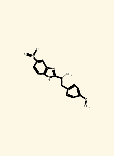 COc1ccc(C[C@@H](N)c2nc3cc([N+](=O)[O-])ccc3[nH]2)cc1